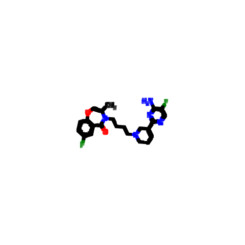 CC1=COc2ccc(F)cc2C(=O)N1CCCCN1CCC=C(c2ncc(F)c(N)n2)C1